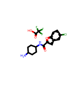 NC1CCC(NC(=O)c2cc3cc(Cl)ccc3o2)CC1.O=C(O)C(F)(F)F